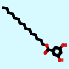 CCCCCCCCCCCCCCCOC(=O)c1cc(O)cc(O)c1